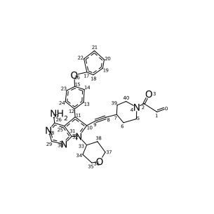 C=CC(=O)N1CCC(C#Cc2c(-c3ccc(Oc4ccccc4)cc3)c3c(N)ncnc3n2C2CCOCC2)CC1